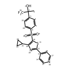 CC(O)(c1ccc(S(=O)(=O)c2sc(-c3ccncc3)nc2C2CC2)cc1)C(F)(F)F